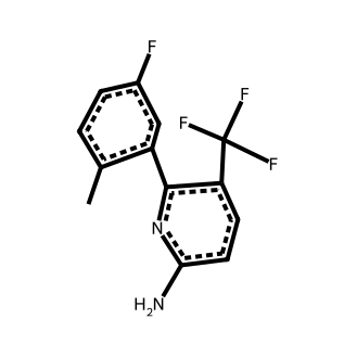 Cc1ccc(F)cc1-c1nc(N)ccc1C(F)(F)F